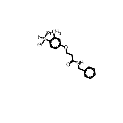 Cc1cc(OCCC(=O)NCc2ccccc2)ccc1[Si](F)(C(C)C)C(C)C